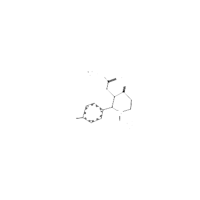 COC(=O)CC1C(=O)CCN(C(=O)O)C1c1ccc(C(F)(F)F)cc1